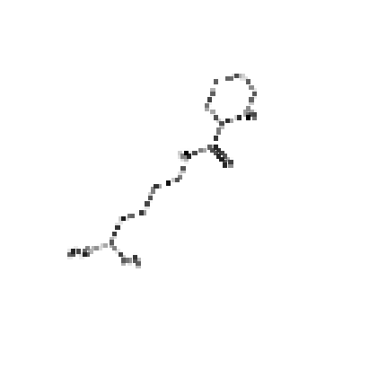 N[C@@H](CCCCNC(=O)C1CSCCN1)C(=O)O